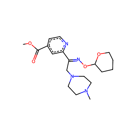 COC(=O)c1ccnc(/C(CN2CCN(C)CC2)=N/OC2CCCCO2)c1